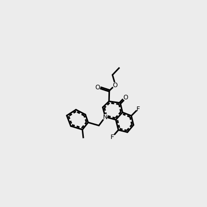 CCOC(=O)c1cn(Cc2ccccc2C)c2c(F)ccc(F)c2c1=O